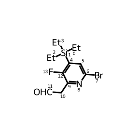 CC[Si](CC)(CC)c1cc(Br)nc(CC=O)c1F